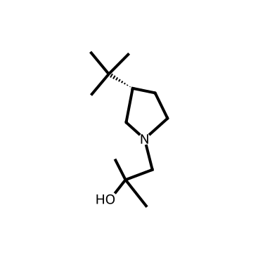 CC(C)(O)CN1CC[C@@H](C(C)(C)C)C1